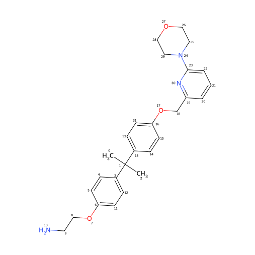 CC(C)(c1ccc(OCCN)cc1)c1ccc(OCc2cccc(N3CCOCC3)n2)cc1